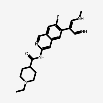 CCN1CCC(C(=O)Nc2cc3cc(/C(C=N)=C/NC)c(F)cc3cn2)CC1